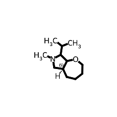 CC(C)C1C2OCCCC[C@H]2CN1C